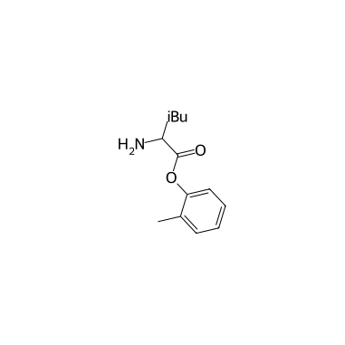 CCC(C)C(N)C(=O)Oc1ccccc1C